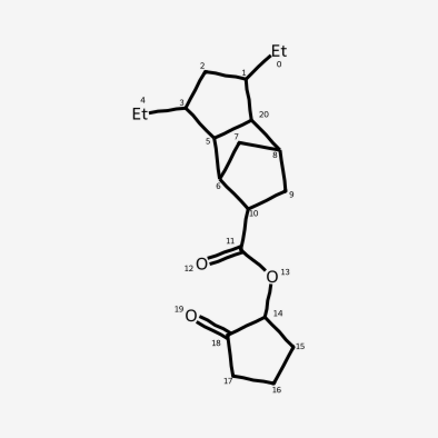 CCC1CC(CC)C2C3CC(CC3C(=O)OC3CCCC3=O)C12